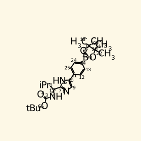 CC(C)[C@H](NC(=O)OC(C)(C)C)c1ncc(-c2ccc(B3OC(C)(C)C(C)(C)O3)cc2)[nH]1